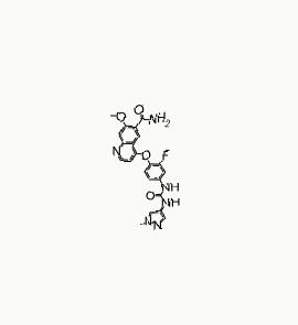 COc1cc2nccc(Oc3ccc(NC(=O)Nc4cnn(C)c4)cc3F)c2cc1C(N)=O